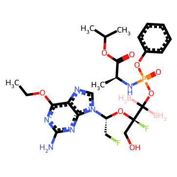 BC(B)(OP(=O)(N[C@@H](C)C(=O)OC(C)C)Oc1ccccc1)[C@](F)(CO)O[C@H](CF)n1cnc2c(OCC)nc(N)nc21